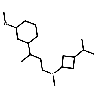 COC1CCCC(C(C)CCN(C)C2CC(C(C)C)C2)C1